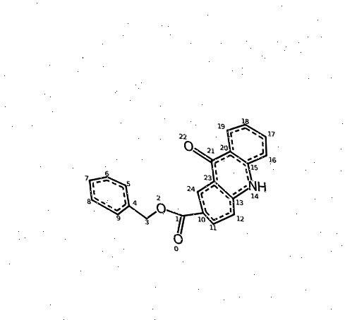 O=C(OCc1ccccc1)c1ccc2[nH]c3ccccc3c(=O)c2c1